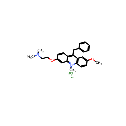 COc1ccc2c(c1)c(Cc1ccccc1)c1ccc(OCCN(C)C)cc1[n+]2C.Cl.[Cl-]